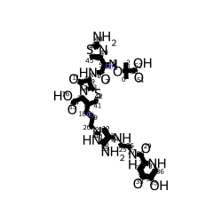 CC(C)(O/N=C(\C(=O)N[C@@H]1C(=O)N2C(C(=O)O)=C(/C=C/C[n+]3cc(NCCNC(=O)c4cc(=O)c(O)c[nH]4)c(N)[nH]3)CSC12)c1csc(N)n1)C(=O)O